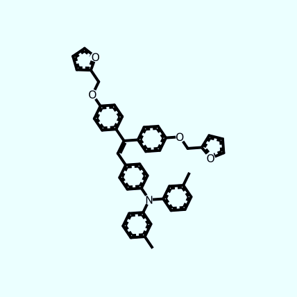 Cc1cccc(N(c2ccc(C=C(c3ccc(OCc4ccco4)cc3)c3ccc(OCc4ccco4)cc3)cc2)c2cccc(C)c2)c1